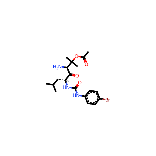 CC(=O)OC(C)(C)C(N)C(=O)[C@@H](CC(C)C)NC(=O)Nc1ccc(Br)cc1